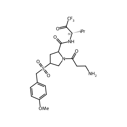 COc1ccc(CS(=O)(=O)C2CC(C(=O)N[C@H](C(=O)C(F)(F)F)C(C)C)N(C(=O)CCN)C2)cc1